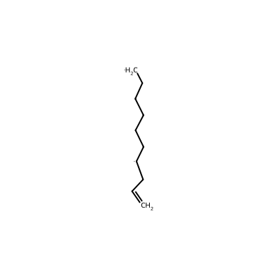 [CH2]CCCCC[CH]CC=C